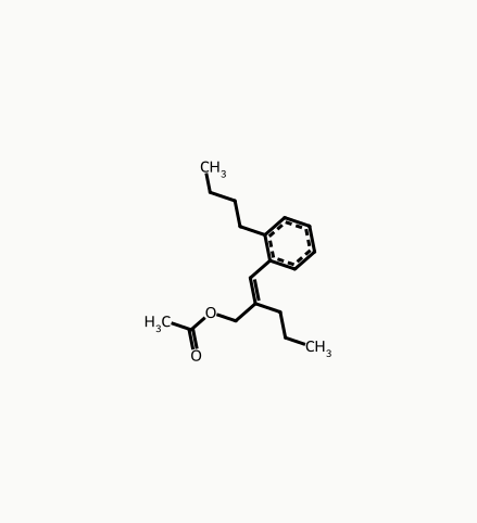 CCCCc1ccccc1/C=C(\CCC)COC(C)=O